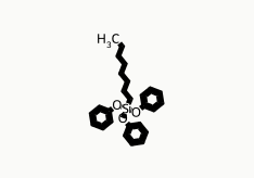 CCCCCCCC[Si](Oc1ccccc1)(Oc1ccccc1)Oc1ccccc1